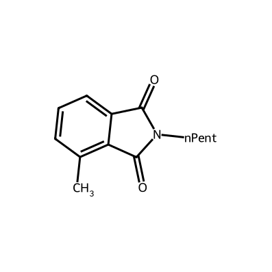 CCCCCN1C(=O)c2cccc(C)c2C1=O